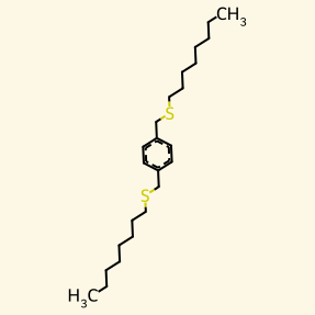 CCCCCCCCSCc1ccc(CSCCCCCCCC)cc1